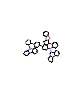 C1=C(c2ccc(-c3ccc(N(c4ccccc4-c4cccc5c4oc4ccccc45)c4cc5ccccc5c5ccccc45)cc3)cc2)C(n2c3ccccc3c3ccccc32)=CCC1